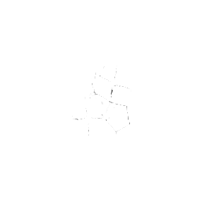 C[Si](C)(C)N1CCC[C@]1(C(=O)O)[Si](C)(C)C